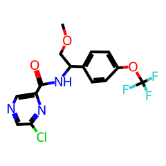 COCC(NC(=O)c1cncc(Cl)n1)c1ccc(OC(F)(F)F)cc1